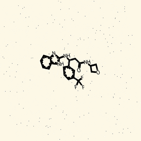 O=C(CC(Nc1nc2ccccc2[nH]1)c1cccc(C(F)(F)F)c1)NC1COC1